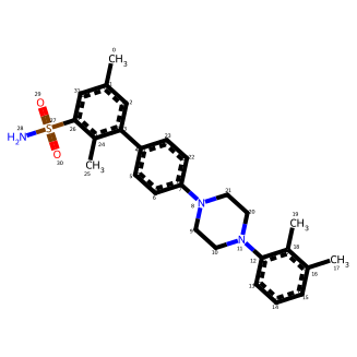 Cc1cc(-c2ccc(N3CCN(c4cccc(C)c4C)CC3)cc2)c(C)c(S(N)(=O)=O)c1